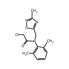 Cc1noc(CN(C(=O)CCl)c2c(C)cccc2C)n1